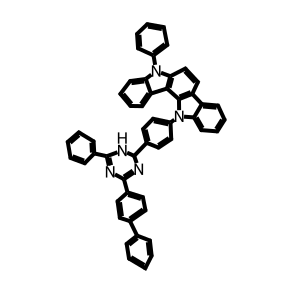 c1ccc(C2=NC(c3ccc(-c4ccccc4)cc3)=NC(c3ccc(-n4c5ccccc5c5ccc6c(c7ccccc7n6-c6ccccc6)c54)cc3)N2)cc1